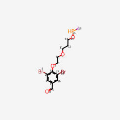 O=Cc1cc(Br)c(OCCOCCCOPI)c(Br)c1